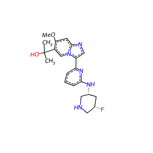 COc1cc2ncc(-c3cccc(N[C@H]4CNC[C@@H](F)C4)n3)n2cc1C(C)(C)O